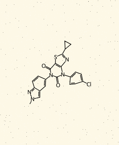 Cn1cc2cc(-n3c(=O)c4sc(C5CC5)nc4n(-c4ccc(Cl)cc4)c3=O)ccc2n1